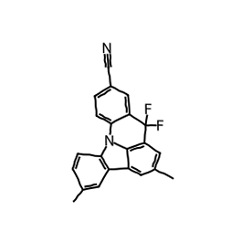 Cc1ccc2c(c1)c1cc(C)cc3c1n2-c1ccc(C#N)cc1C3(F)F